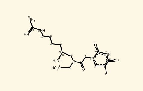 Cc1cn(CC(=O)N(CC(=O)O)C[C@@H](N)CCCCNC(=N)N)c(=O)[nH]c1=O